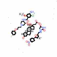 COc1cc(N)c(Cl)cc1C(=O)NC1CCN(CCCOc2ccc(F)cc2)CC1OC.C[C@]12CCC(=O)C=C1C=C[C@@H]1[C@@H]2CC[C@@]2(C)[C@H]1CC[C@@]2(O)CCC(=O)[O-].O=C1CN(N=Cc2ccc(-c3ccc([N+](=O)[O-])cc3)o2)C(=O)N1.[K+]